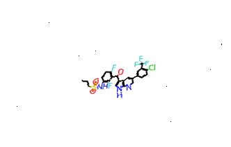 CCCS(=O)(=O)Nc1ccc(F)c(C(=O)c2c[nH]c3ncc(-c4ccc(Cl)c(C(F)(F)F)c4)cc23)c1F